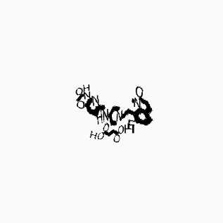 Cn1c(=O)ccc2ccc(F)c(CCN3CCC(NCc4ccc5c(n4)NC(=O)CO5)CC3)c21.O=C(O)C=CC(=O)O